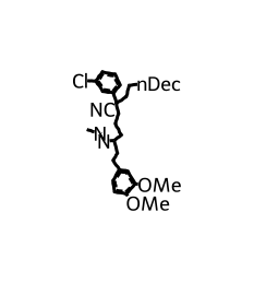 CCCCCCCCCCCCC(C#N)(CCCC(CCc1ccc(OC)c(OC)c1)/N=N/C)c1cccc(Cl)c1